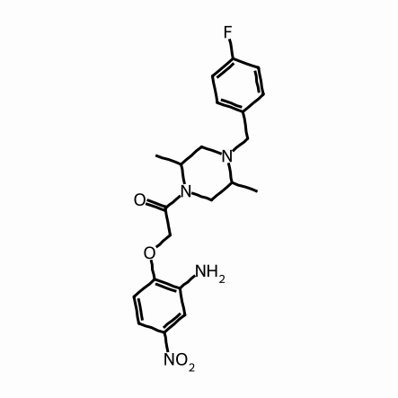 CC1CN(C(=O)COc2ccc([N+](=O)[O-])cc2N)C(C)CN1Cc1ccc(F)cc1